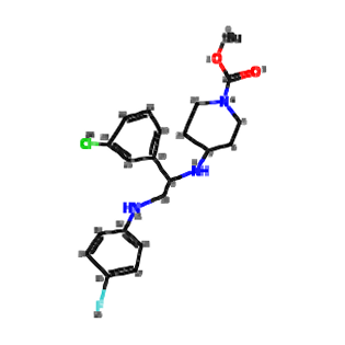 CC(C)(C)OC(=O)N1CCC(NC(CNc2ccc(F)cc2)c2cccc(Cl)c2)CC1